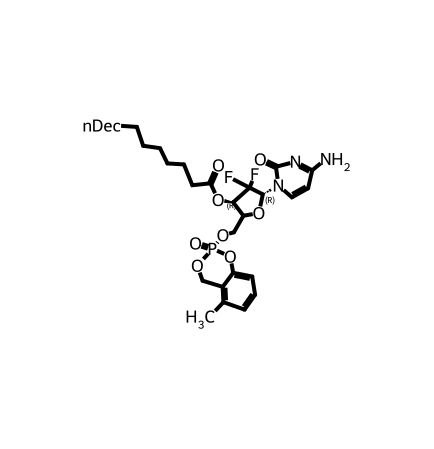 CCCCCCCCCCCCCCCCC(=O)O[C@@H]1C(COP2(=O)OCc3c(C)cccc3O2)O[C@@H](n2ccc(N)nc2=O)C1(F)F